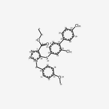 CCOC(=O)c1nnn(Cc2ccc(OC)cc2)c1Sc1ccc(-c2ccc(Cl)cc2)c(Cl)c1